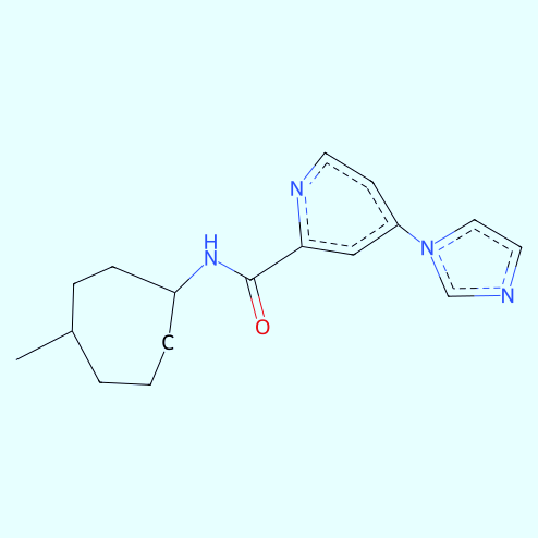 CC1CCCC(NC(=O)c2cc(-n3ccnc3)ccn2)CC1